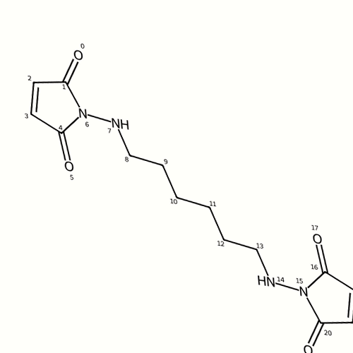 O=C1C=CC(=O)N1NCCCCCCNN1C(=O)C=CC1=O